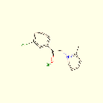 Cc1cccc[n+]1CC(=O)c1cccc(Cl)c1.[Br-]